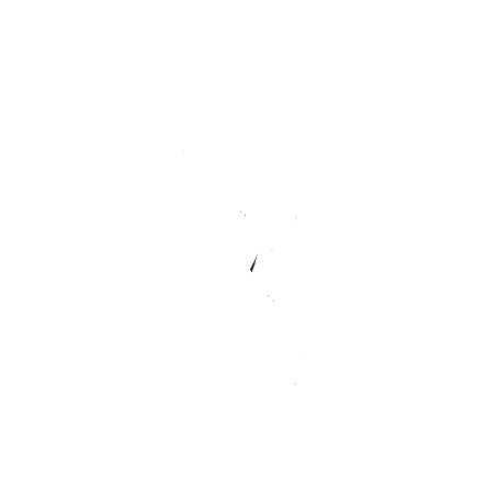 C=C/C=C\C(=C/C)[C@@H](CN1CC[C@H](O)C1)N(C)C(=O)C(C(/C=C\C)=C/C)c1ccccc1